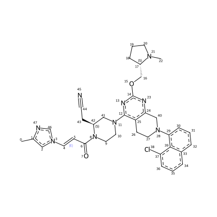 Cc1cn(/C=C/C(=O)N2CCN(c3nc(OC[C@@H]4CCCN4C)nc4c3CCN(c3cccc5cccc(Cl)c35)C4)C[C@@H]2CC#N)cn1